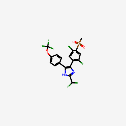 CS(=O)(=O)c1cc(F)c(-c2nc(C(F)F)[nH]c2-c2ccc(OC(F)(F)F)cc2)cc1F